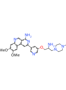 COc1cc2ncc3c(N)nc(-c4cncc(OC[C@@H](N)CN5CCN(C)CC5)c4)cc3c2cc1OC